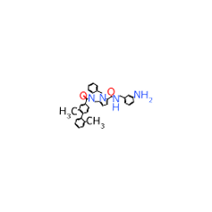 Cc1ccccc1-c1ccc(C(=O)N2Cc3ccc(C(=O)NCc4cccc(N)c4)n3Cc3ccccc32)cc1C